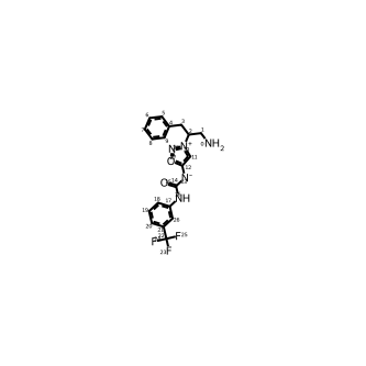 NCC(Cc1ccccc1)[n+]1cc([N-]C(=O)Nc2cccc(C(F)(F)F)c2)on1